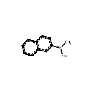 CN(C=O)c1ccc2ccccc2c1